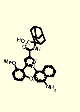 COc1cccc(OC)c1-c1cc(C(=O)NC2(C(=O)O)C3CC4CC(C3)CC2C4)nn1-c1ccc(N)c2ccccc12